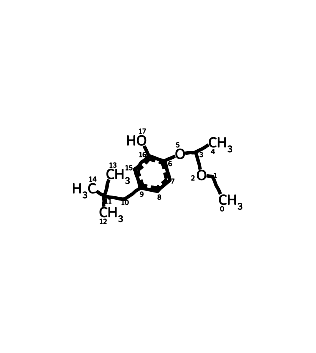 CCOC(C)Oc1ccc(CC(C)(C)C)cc1O